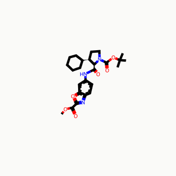 COC(=O)c1nc2ccc(NC(=O)[C@H]3[C@H](C4CCCCC4)CCN3C(=O)OC(C)(C)C)cc2o1